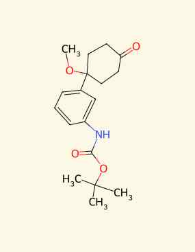 COC1(c2cccc(NC(=O)OC(C)(C)C)c2)CCC(=O)CC1